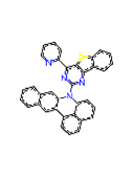 c1ccc(-c2nc(N3c4cc5ccccc5cc4-c4cccc5cccc3c45)nc3c2sc2ccccc23)nc1